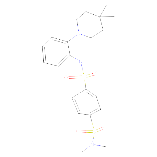 CN(C)S(=O)(=O)c1ccc(S(=O)(=O)Nc2ccccc2N2CCC(C)(C)CC2)cc1